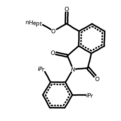 CCCCCCCOC(=O)c1cccc2c1C(=O)N(c1c(C(C)C)cccc1C(C)C)C2=O